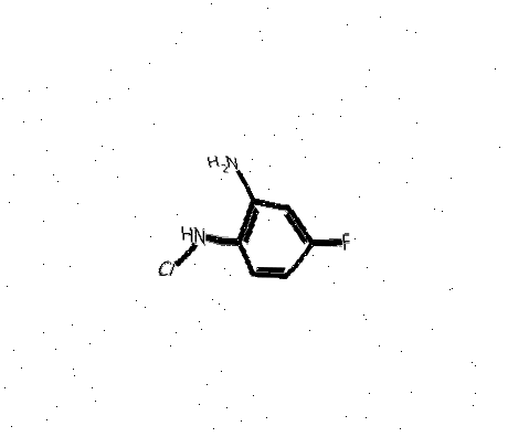 Nc1cc(F)ccc1NCl